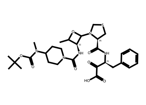 CC1OC(N2CSC[C@H]2C(=O)N[C@@H](Cc2ccccc2)C(=O)C(=O)O)[C@H]1NC(=O)N1CCC(N(C)C(=O)OC(C)(C)C)CC1